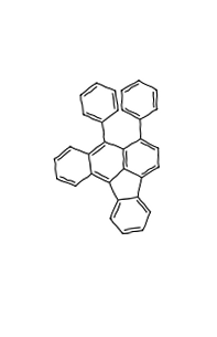 c1ccc(-c2ccc3c4c(c5ccccc5c(-c5ccccc5)c24)-c2ccccc2-3)cc1